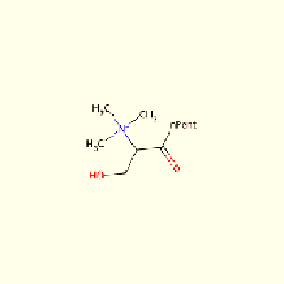 CCCCCC(=O)C(CO)[N+](C)(C)C